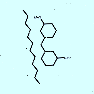 CCCCCCCCCCCC.CNC1CCCC(CC2CCCC(NC)C2)C1